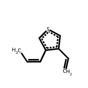 C=Cc1cscc1/C=C\C